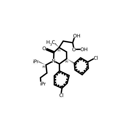 CC(C)CC[C@H](C(C)C)N1C(=O)[C@@](C)(CC(O)OO)C[C@H](c2cccc(Cl)c2)C1c1ccc(Cl)cc1